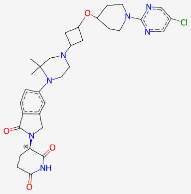 CC1(C)CN(C2CC(OC3CCN(c4ncc(Cl)cn4)CC3)C2)CCN1c1ccc2c(c1)CN([C@@H]1CCC(=O)NC1=O)C2=O